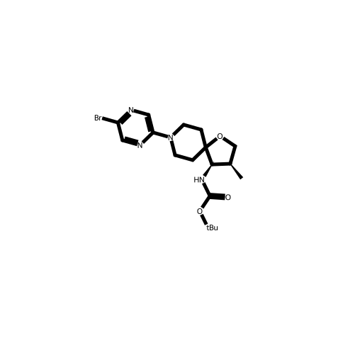 C[C@@H]1COC2(CCN(c3cnc(Br)cn3)CC2)[C@@H]1NC(=O)OC(C)(C)C